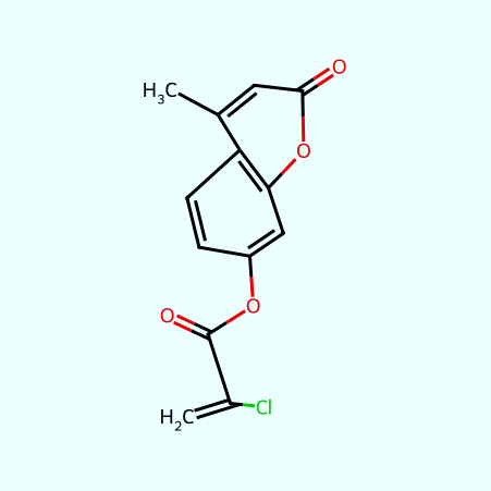 C=C(Cl)C(=O)Oc1ccc2c(C)cc(=O)oc2c1